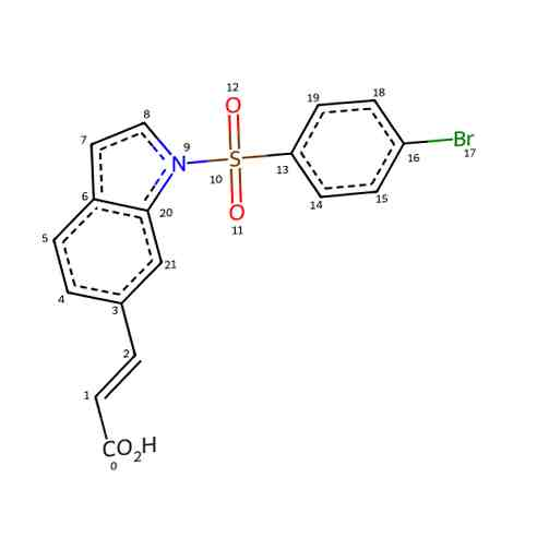 O=C(O)/C=C/c1ccc2ccn(S(=O)(=O)c3ccc(Br)cc3)c2c1